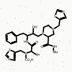 CC(C)C(C(=O)NC(Cc1ccccc1)C(O)CN1CCN(Cc2cncs2)CC1C(=O)NC(C)(C)C)N(Cc1cncs1)C(=O)O